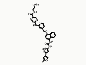 COCCNC(=O)c1cnc(Nc2cc(COc3ccc(NC(=O)Nc4cc(-c5csc(C)c5)n[nH]4)c4ccccc34)ccn2)cn1